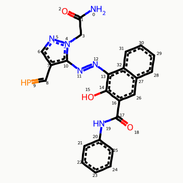 NC(=O)Cn1ncc(C=P)c1/N=N/c1c(O)c(C(=O)Nc2ccccc2)cc2ccccc12